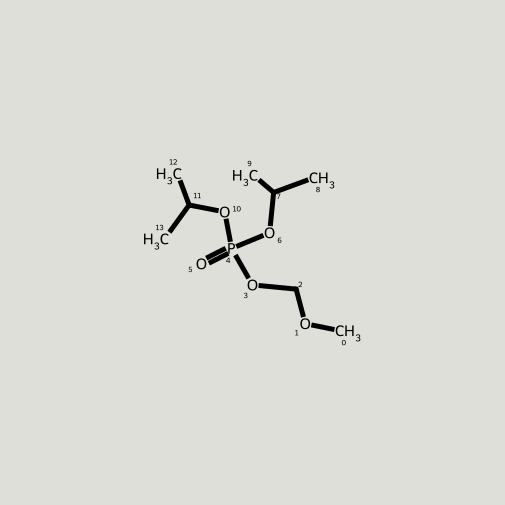 COCOP(=O)(OC(C)C)OC(C)C